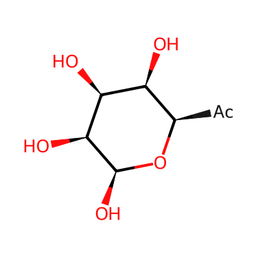 CC(=O)[C@H]1O[C@@H](O)[C@@H](O)[C@@H](O)[C@H]1O